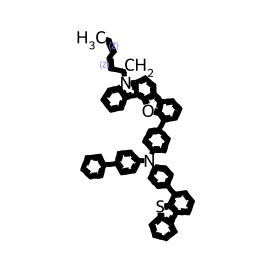 C=C(/C=C\C=C/C)n1c2ccccc2c2c3oc4c(-c5ccc(N(c6ccc(-c7ccccc7)cc6)c6ccc(-c7cccc8c7sc7ccccc78)cc6)cc5)cccc4c3ccc21